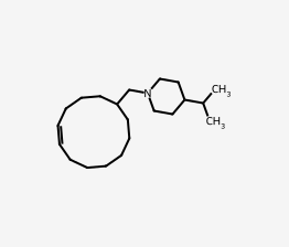 CC(C)C1CCN(CC2CCC/C=C\CCCCCC2)CC1